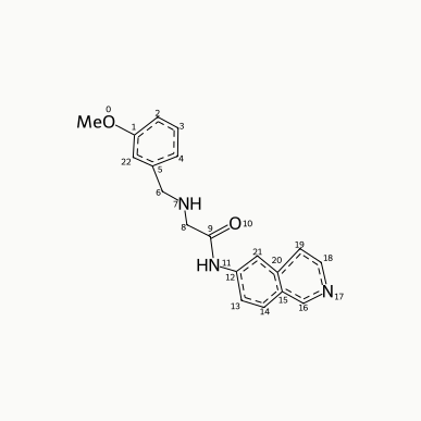 COc1cccc(CNCC(=O)Nc2ccc3cnccc3c2)c1